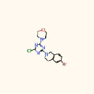 Clc1nc(N2CCOCC2)nc(N2CCc3cc(Br)ccc3C2)n1